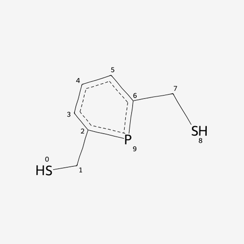 SCc1cccc(CS)p1